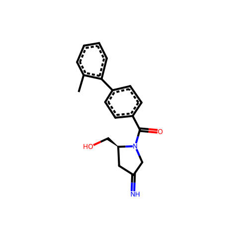 Cc1ccccc1-c1ccc(C(=O)N2CC(=N)C[C@H]2CO)cc1